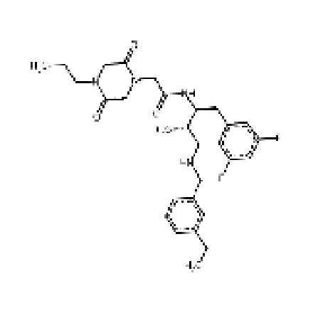 CCCN1CC(=O)N(CC(=O)N[C@@H](Cc2cc(F)cc(F)c2)[C@@H](O)CNCc2cccc(CC)c2)CC1=O